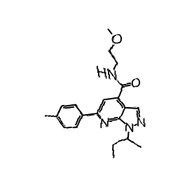 CCC(C)n1ncc2c(C(=O)NCCOC)cc(-c3ccc(C)cc3)nc21